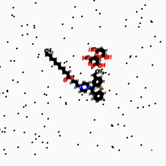 CCCCCCCCCCCC(=O)OCCCN1CCN(C2Cc3ccccc3Sc3ccc(CC)cc32)CC1.O=C(O)/C=C\C(=O)O.O=C(O)/C=C\C(=O)O